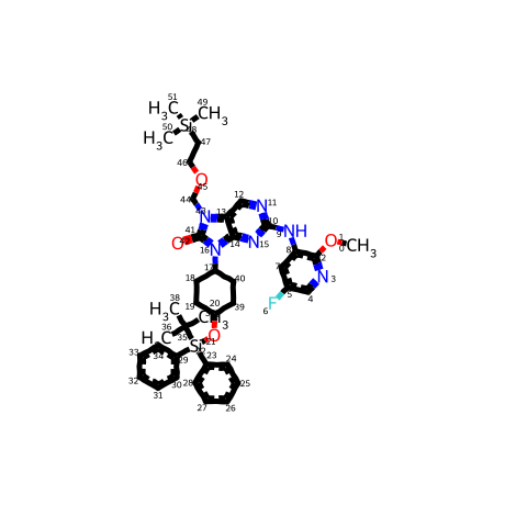 COc1ncc(F)cc1Nc1ncc2c(n1)n(C1CCC(O[Si](c3ccccc3)(c3ccccc3)C(C)(C)C)CC1)c(=O)n2COCC[Si](C)(C)C